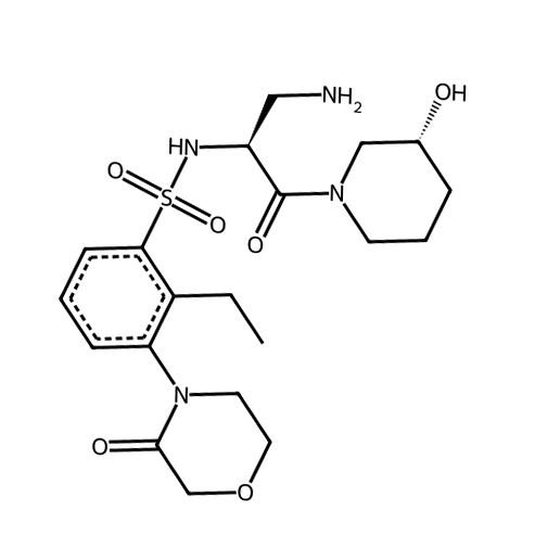 CCc1c(N2CCOCC2=O)cccc1S(=O)(=O)N[C@@H](CN)C(=O)N1CCC[C@@H](O)C1